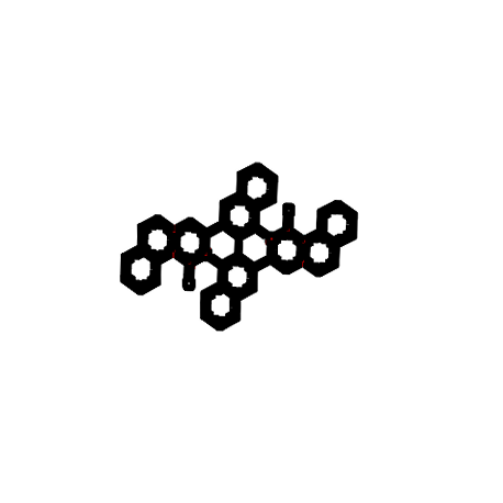 O=C(Oc1c(-c2c(-c3ccccc3)cc3ccccc3c2OC(=O)c2cccc3ccccc23)c(-c2ccccc2)cc2ccccc12)c1cccc2ccccc12